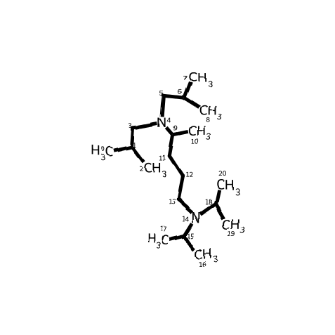 CC(C)CN(CC(C)C)C(C)CCCN(C(C)C)C(C)C